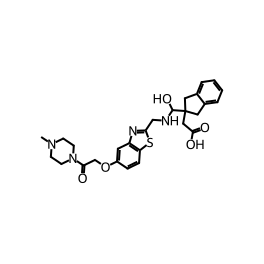 CN1CCN(C(=O)COc2ccc3sc(CNC(O)C4(CC(=O)O)Cc5ccccc5C4)nc3c2)CC1